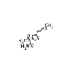 COCCC[C@@H]1C[C@@H](N(C(C)=O)C(N)=O)CS1